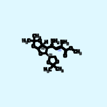 COC(=O)/C(N)=C/N(N)C1C([C@@H]2COC(C)(C)O2)OC2OC(C)(C)O[C@H]21